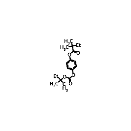 CCC(C)(C)OC(=O)Oc1ccc(OC(=O)C(C)(C)CC)cc1